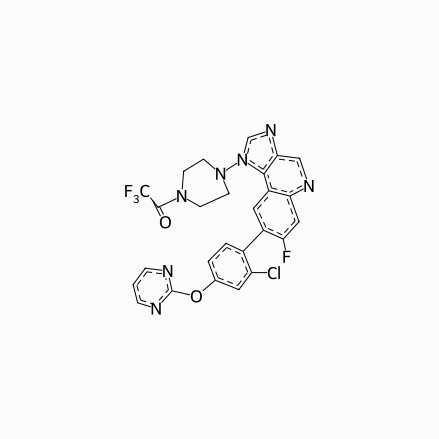 O=C(N1CCN(n2cnc3cnc4cc(F)c(-c5ccc(Oc6ncccn6)cc5Cl)cc4c32)CC1)C(F)(F)F